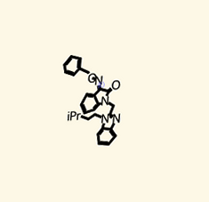 CC(C)CCn1c(CN2C(=O)/C(=N/OCc3ccccc3)c3ccccc32)nc2ccccc21